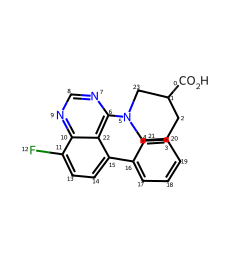 O=C(O)C1CCCN(c2ncnc3c(F)ccc(-c4ccccc4)c23)C1